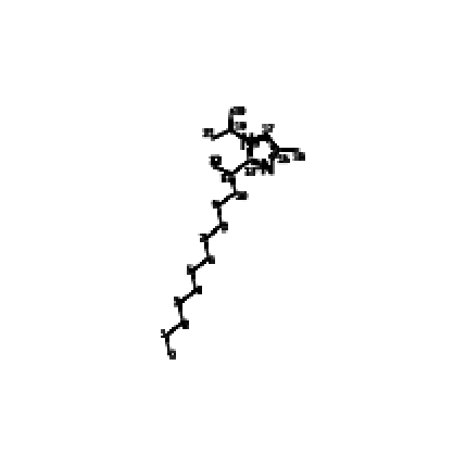 CCCCCCCCCCCC(C)c1nc(C)cn1C(C)C